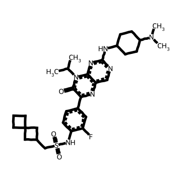 CC(C)n1c(=O)c(-c2ccc(NS(=O)(=O)CC3CC4(CCC4)C3)c(F)c2)nc2cnc(NC3CCC(N(C)C)CC3)nc21